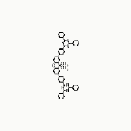 CC1(C)c2cc(-c3ccc(-c4nc(-c5ccccc5)nc(-c5ccccc5)n4)cc3)ccc2Oc2ccc(-c3ccc(-c4nc(-c5ccccc5)nc(-c5ccccc5)n4)cc3)cc21